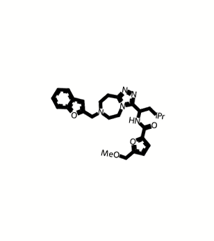 COCc1ccc(C(=O)NC(CC(C)C)c2nnc3n2CCN(Cc2cc4ccccc4o2)CC3)o1